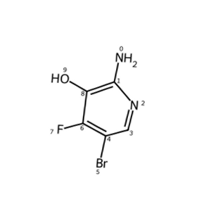 Nc1ncc(Br)c(F)c1O